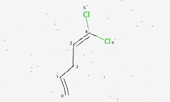 C=CCC=C(Cl)Cl